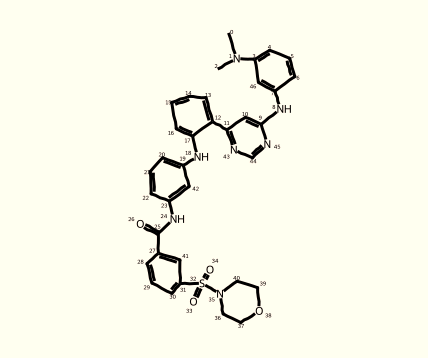 CN(C)c1cccc(Nc2cc(-c3ccccc3Nc3cccc(NC(=O)c4cccc(S(=O)(=O)N5CCOCC5)c4)c3)ncn2)c1